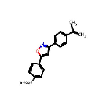 C=C(C)c1ccc(-c2cc(-c3ccc(CCCCCCC)cc3)on2)cc1